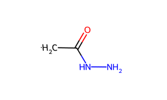 [CH2]C(=O)NN